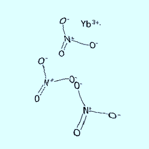 O=[N+]([O-])[O-].O=[N+]([O-])[O-].O=[N+]([O-])[O-].[Yb+3]